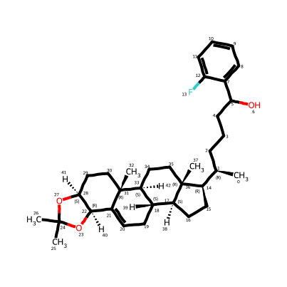 C[C@H](CCCC(O)c1ccccc1F)[C@H]1CC[C@H]2[C@@H]3CC=C4[C@H]5OC(C)(C)O[C@H]5CC[C@]4(C)[C@H]3CC[C@]12C